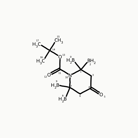 BC1(B)CC(=O)CC(B)(B)N1C(=O)OC(C)(C)C